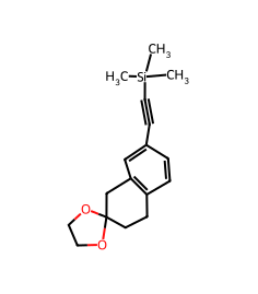 C[Si](C)(C)C#Cc1ccc2c(c1)CC1(CC2)OCCO1